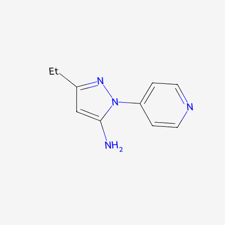 CCc1cc(N)n(-c2ccncc2)n1